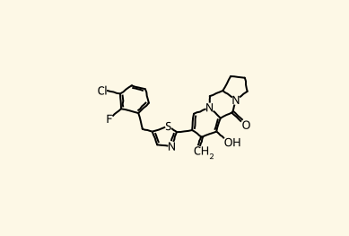 C=C1C(c2ncc(Cc3cccc(Cl)c3F)s2)=CN2CC3CCCN3C(=O)C2=C1O